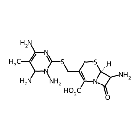 CC1=C(N)N=C(SCC2=C(C(=O)O)N3C(=O)C(N)[C@@H]3SC2)N(N)C1N